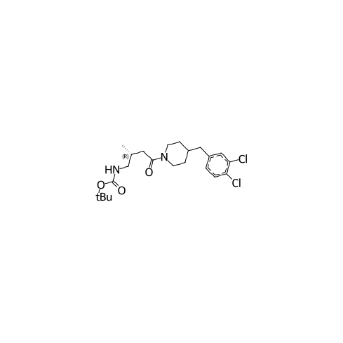 C[C@@H](CNC(=O)OC(C)(C)C)CC(=O)N1CCC(Cc2ccc(Cl)c(Cl)c2)CC1